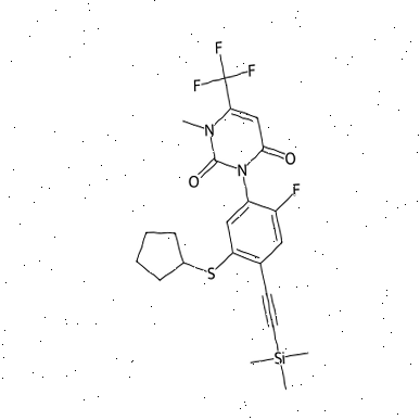 Cn1c(C(F)(F)F)cc(=O)n(-c2cc(SC3CCCC3)c(C#C[Si](C)(C)C)cc2F)c1=O